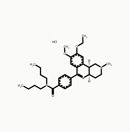 CCCCN(CCCC)C(=O)c1ccc(C2=N[C@@H]3CCN(C)C[C@@H]3c3cc(OCC)c(OC)cc32)cc1.Cl